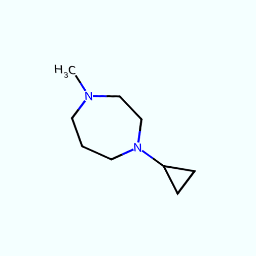 CN1CCCN(C2CC2)CC1